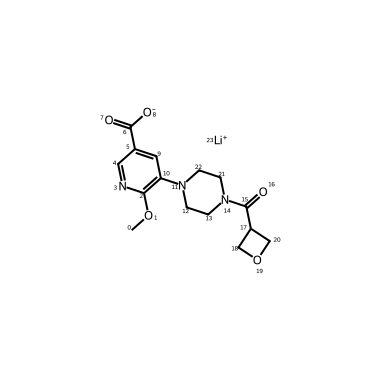 COc1ncc(C(=O)[O-])cc1N1CCN(C(=O)C2COC2)CC1.[Li+]